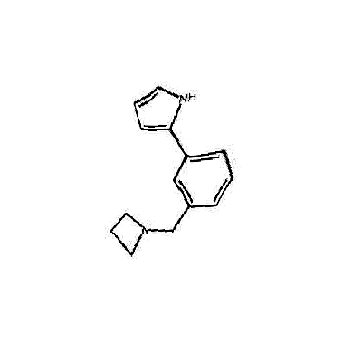 c1cc(CN2CCC2)cc(-c2ccc[nH]2)c1